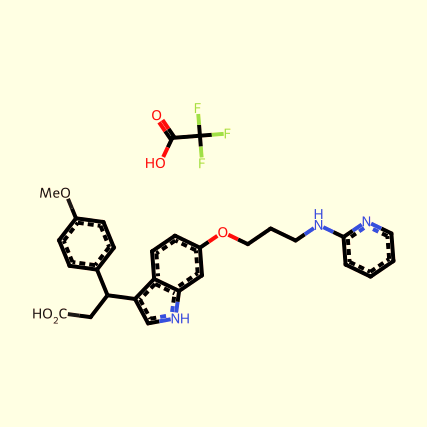 COc1ccc(C(CC(=O)O)c2c[nH]c3cc(OCCCNc4ccccn4)ccc23)cc1.O=C(O)C(F)(F)F